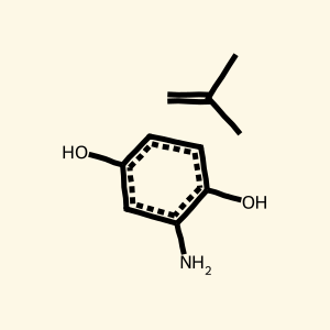 C=C(C)C.Nc1cc(O)ccc1O